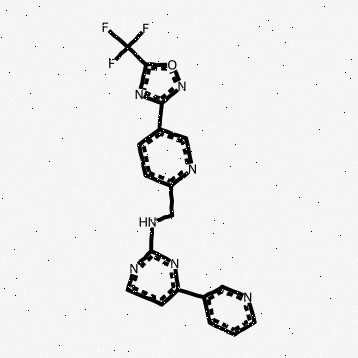 FC(F)(F)c1nc(-c2ccc(CNc3nccc(-c4cccnc4)n3)nc2)no1